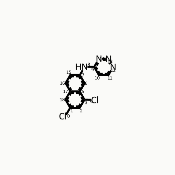 Clc1cc(Cl)c2cc(Nc3ccnnn3)ccc2c1